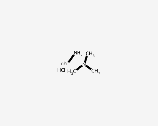 CCCN.CN(C)C.Cl